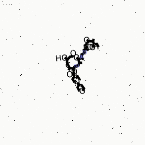 CCC(O)C(C)C1OC1CC(C)(O)/C=C/C=C(\C)C1OC(=O)CC(O)CCC(C)C(OC(=O)N2CCN(C3CCOCC3)CC2)/C=C/C1C